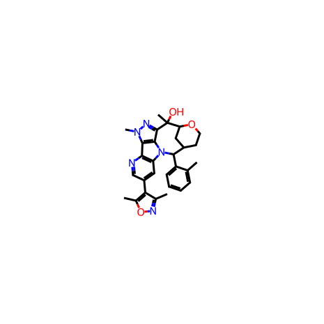 Cc1ccccc1C1C2CCOC(C2)C(C)(O)c2nn(C)c3c4ncc(-c5c(C)noc5C)cc4n1c23